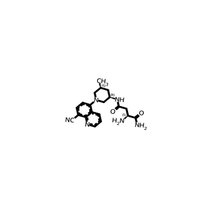 C[C@H]1C[C@@H](NC(=O)C[C@H](N)C(N)=O)CN(c2ccc(C#N)c3ncccc23)C1